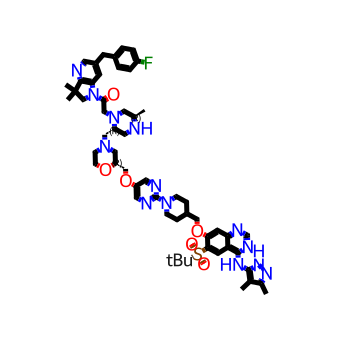 Cc1n[nH]c(Nc2ncnc3cc(OCC4CCN(c5ncc(OC[C@H]6CN(C[C@H]7CN[C@H](C)CN7CC(=O)N7CC(C)(C)c8ncc(Cc9ccc(F)cc9)cc87)CCO6)cn5)CC4)c(S(=O)(=O)C(C)(C)C)cc23)c1C